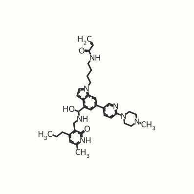 C=CC(=O)NCCCCn1ccc2c(C(O)NCc3c(CCC)cc(C)[nH]c3=O)cc(-c3ccc(N4CCN(C)CC4)nc3)cc21